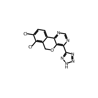 Clc1ccc2c(c1Cl)COc1c(-c3nn[nH]n3)ncnc1-2